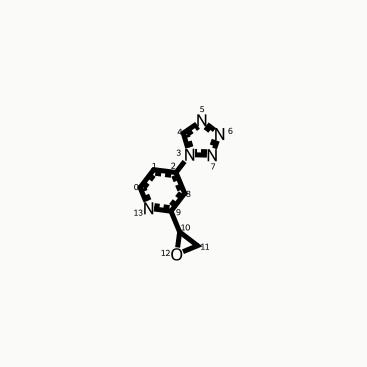 c1cc(-n2cnnn2)cc(C2CO2)n1